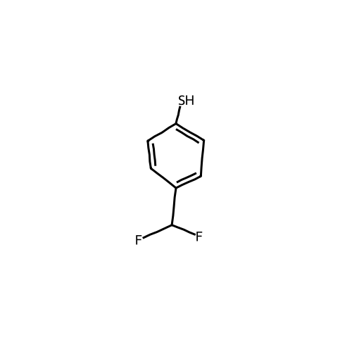 FC(F)c1ccc(S)cc1